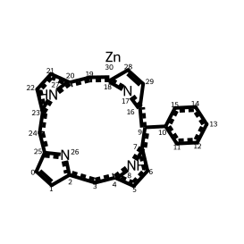 C1=Cc2cc3ccc([nH]3)c(-c3ccccc3)c3nc(cc4ccc(cc1n2)[nH]4)C=C3.[Zn]